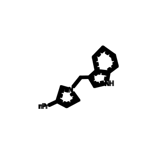 CCCc1ccn(Cc2c[nH]c3ccccc23)c1